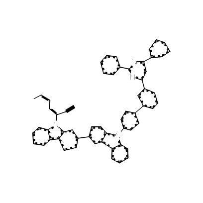 C#C/C(=C\C=C/C)n1c2ccccc2c2ccc(-c3ccc4c(c3)c3ccccc3n4-c3ccc(-c4cccc(-c5cc(-c6ccccc6)nc(-c6ccccc6)n5)c4)cc3)cc21